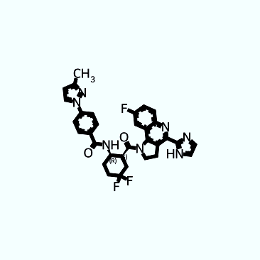 Cc1ccn(-c2ccc(C(=O)N[C@@H]3CCC(F)(F)C[C@@H]3C(=O)N3CCc4c(-c5ncc[nH]5)nc5ccc(F)cc5c43)cc2)n1